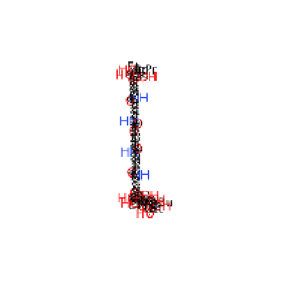 CCCCC(O)(CC)C1C(CO)OC(OC(CC)(CCC)C2C(CO)OC(OCCCCCCNC(=O)CCCCCCCNC(=O)CCCCCCOCCC(=O)NCCCCCCCC(=O)NCCCCCCOC3OC(CO)C(C(CC)CCC)C(O)C3O)C(O)C2O)C(O)C1O